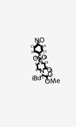 CC[C@H](C)[C@@H](C(=O)OC)N1CCN(S(=O)(=O)c2ccc(N=O)cc2)CC1=O